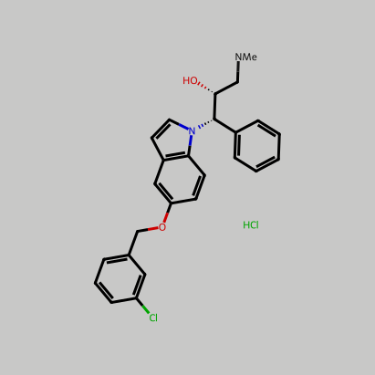 CNC[C@@H](O)[C@H](c1ccccc1)n1ccc2cc(OCc3cccc(Cl)c3)ccc21.Cl